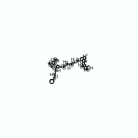 CC[C@@]1(O)C(=O)OCc2c1cc1n(c2=O)Cc2c-1nc1cc(F)c(C)c3c1c2[C@@H](NC(=O)COCNC(=O)CNC(=O)CNC(=O)OCc1ccc(O[C@@H]2O[C@H](C(=O)OC)[C@@H](O)[C@H](OC(C)=O)[C@H]2OC(C)=O)c(C(=O)NCCNC(=O)COC2C#CCCCCC2)c1)CC3